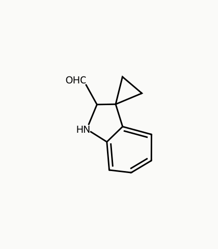 O=CC1Nc2ccccc2C12CC2